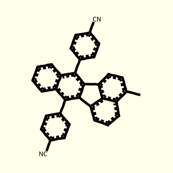 Cc1ccc2c3c(cccc13)-c1c-2c(-c2ccc(C#N)cc2)c2ccccc2c1-c1ccc(C#N)cc1